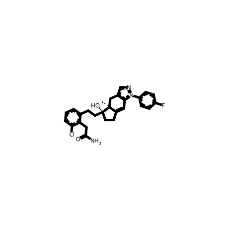 C[C@]12Cc3cnn(-c4ccc(F)cc4)c3C=C1CC[C@@]2(O)CCc1cccc(Cl)c1CC(N)=O